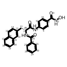 O=C(NO)c1ccc(NC(=O)[C@@H](Cc2ccc3ccccc3c2)NC(=O)c2ccccc2)cc1